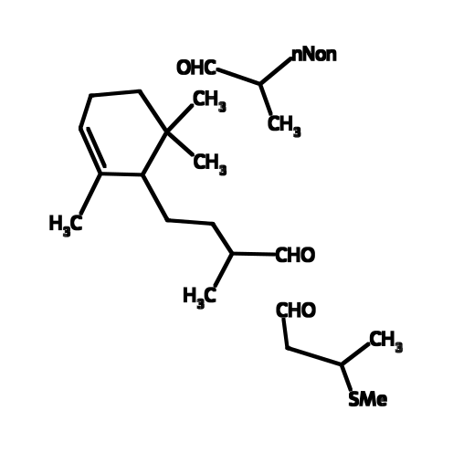 CC1=CCCC(C)(C)C1CCC(C)C=O.CCCCCCCCCC(C)C=O.CSC(C)CC=O